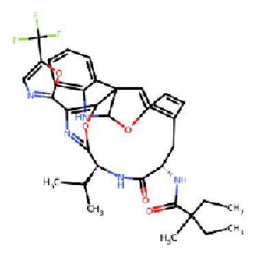 CCC(C)(CC)C(=O)N[C@H]1Cc2ccc3c(c2)C2(c4ccccc4NC2O3)c2oc(nc2-c2ncc(C(F)(F)F)o2)[C@H](C(C)C)NC1=O